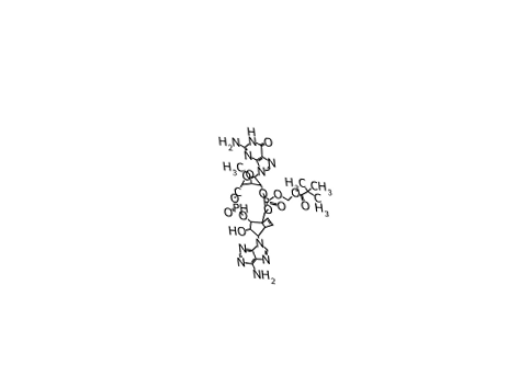 COC1C2CO[PH](=O)OC3C(O)C(n4cnc5c(N)ncnc54)C4C=CC43COP(=O)(OCOC(=O)C(C)(C)C)OC1C(n1cnc3c(=O)[nH]c(N)nc31)O2